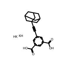 O=C(O)c1cc(C#CC23CC4CC(CC(C4)C2)C3)cc(C(=O)O)c1.[KH].[KH]